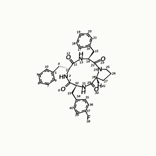 O=C1N[C@H](Cc2ccccc2)C(=O)N[C@@H](Cc2ccccc2)C(=O)N2CCC[C@@H]2C(=O)N[C@H]1Cc1ccc(F)cc1